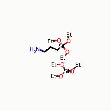 CCO[SiH](OCC)OCC.CCO[Si](CCCN)(OCC)OCC